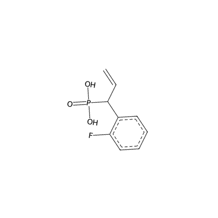 C=CC(c1ccccc1F)P(=O)(O)O